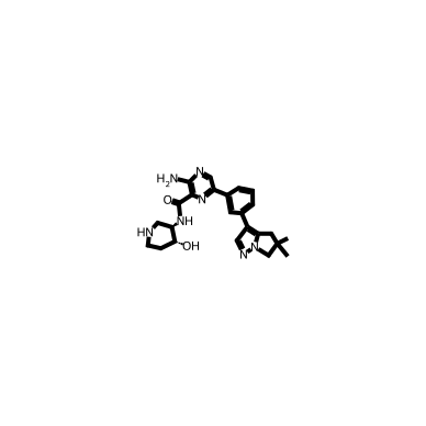 CC1(C)Cc2c(-c3cccc(-c4cnc(N)c(C(=O)N[C@@H]5CNCC[C@H]5O)n4)c3)cnn2C1